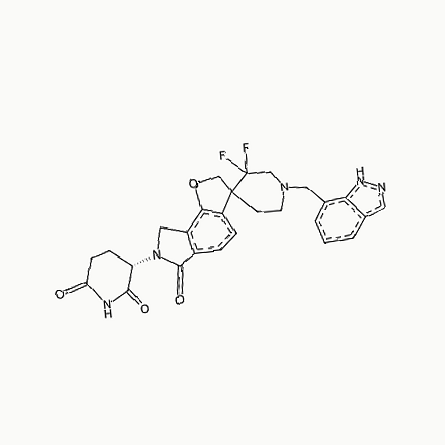 O=C1CC[C@H](N2Cc3c(ccc4c3OCC43CCN(Cc4cccc5cn[nH]c45)CC3(F)F)C2=O)C(=O)N1